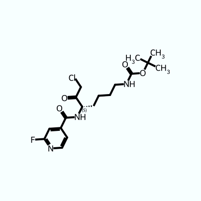 CC(C)(C)OC(=O)NCCCC[C@H](NC(=O)c1ccnc(F)c1)C(=O)CCl